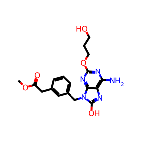 COC(=O)Cc1cccc(Cn2c(O)nc3c(N)nc(OCCCO)nc32)c1